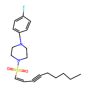 CCCCCC#C/C=C\S(=O)(=O)N1CCN(c2ccc(F)cc2)CC1